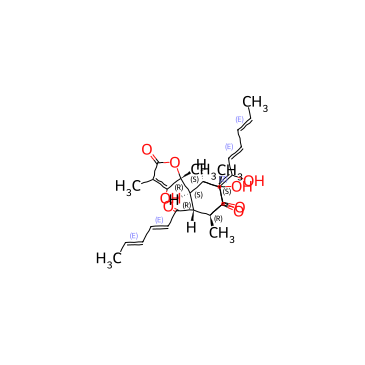 C/C=C/C=C/C(=O)[C@@H]1[C@@H]([C@@]2(C)OC(=O)C(C)=C2O)[C@H]2\C(=C(O)/C=C/C=C/C)C(=O)[C@]1(C)C(=O)[C@@]2(C)O